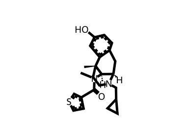 CN(C(=O)c1ccsc1)[C@@H]1[C@H]2Cc3ccc(O)cc3[C@@]1(C)CCN2CC1CC1